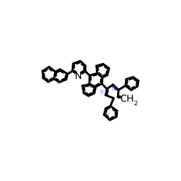 C=C/C(=C\C(=C/Cc1ccccc1)c1c2ccccc2c(-c2cccc(-c3ccc4ccccc4c3)n2)c2ccccc12)c1ccccc1